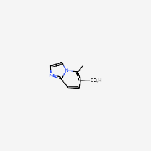 Cc1c(C(=O)O)ccc2nccn12